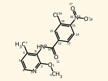 COc1nccc(C)c1NC(=O)c1ccc([N+](=O)[O-])c(Cl)c1